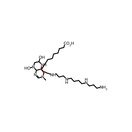 CN1C=NC2N(O)CC(O)NC23CC(CCCCCCC(=O)O)CC(NCCCNCCCCNCCCN)=C13